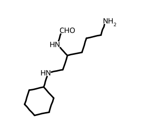 NCCCC(CNC1CCCCC1)NC=O